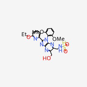 CCOc1cccc(-c2nc3nc(CO)c(CN[SH](=O)=O)nc3n2-c2c(OC)cccc2OC)n1